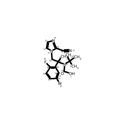 CC(C)(C)N(C(=O)O)C(C)(Cn1ccnc1C#N)c1cc(Br)ccc1F